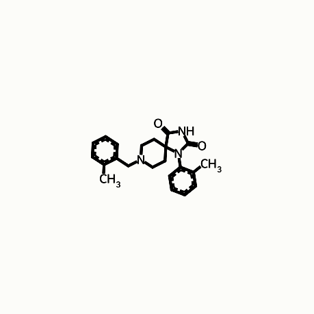 Cc1ccccc1CN1CCC2(CC1)C(=O)NC(=O)N2c1ccccc1C